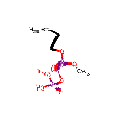 CC=COP(=O)(OC)OP(=O)(O)O